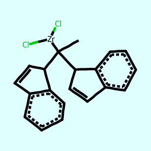 C[C](C1C=Cc2ccccc21)(C1C=Cc2ccccc21)[Zr]([Cl])[Cl]